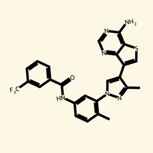 Cc1ccc(NC(=O)c2cccc(C(F)(F)F)c2)cc1-n1cc(-c2csc3c(N)ncnc23)c(C)n1